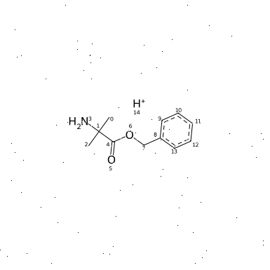 CC(C)(N)C(=O)OCc1ccccc1.[H+]